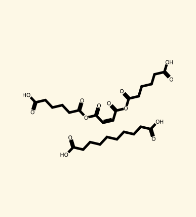 O=C(O)CCCCC(=O)OC(=O)/C=C\C(=O)OC(=O)CCCCC(=O)O.O=C(O)CCCCCCCCC(=O)O